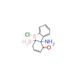 BC12CC=CC(=O)C1(N)c1ccccc1B2Cl